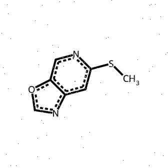 CSc1cc2ncoc2cn1